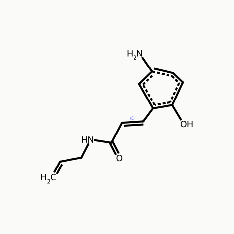 C=CCNC(=O)/C=C/c1cc(N)ccc1O